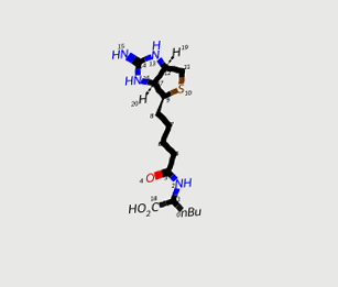 CCCCC(NC(=O)CCCC[C@@H]1SC[C@@H]2NC(=N)N[C@@H]21)C(=O)O